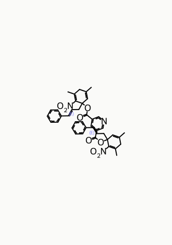 CC1=CC(C/C=C/c2ccccc2)(OC(=O)c2cncc(C(=O)OC3(C/C=C/c4ccccc4)C=C(C)CC(C)=C3[N+](=O)[O-])c2)C([N+](=O)[O-])=C(C)C1